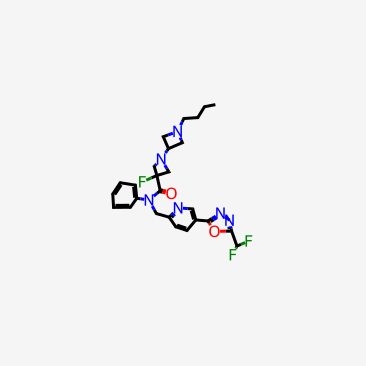 CCCCN1CC(N2CC(F)(C(=O)N(Cc3ccc(-c4nnc(C(F)F)o4)cn3)c3ccccc3)C2)C1